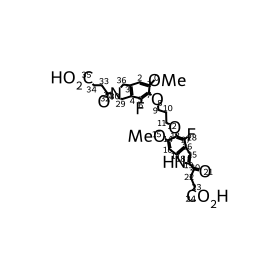 COc1cc2c(c(F)c1OCCCOc1c(OC)cc3[nH]c(C(=O)CCC(=O)O)cc3c1F)CN(C(=O)CCC(=O)O)C2